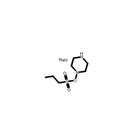 CCCS(=O)(=O)ON1CCNCC1.[NaH]